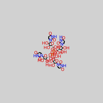 O=c1ccn([C@@H]2O[C@H](C(O)OP(=O)(OC(O)[C@H]3O[C@@H](n4ccc(=O)[nH]c4=O)[C@H](O)[C@@H]3O)OP(=O)(OC(O)[C@H]3O[C@@H](n4ccc(=O)[nH]c4=O)[C@H](O)[C@@H]3O)OC(O)[C@H]3O[C@@H](n4ccc(=O)[nH]c4=O)[C@H](O)[C@@H]3O)[C@@H](O)[C@H]2O)c(=O)[nH]1